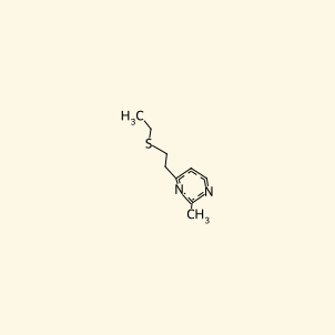 CCSCCc1ccnc(C)n1